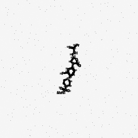 CNS(=O)(=O)N1CCN(c2ccc(N3C[C@H](CNC(=S)C(C)C)OC3=O)cc2F)CC1